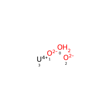 O.[O-2].[O-2].[U+4]